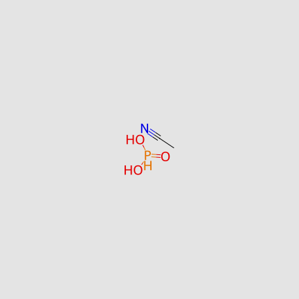 CC#N.O=[PH](O)O